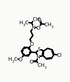 COc1ccc(OCCCN(OC(C)=O)C(C)C)c(C2SC3=C(C=CC(Cl)=CC3)N2C(C)=O)c1